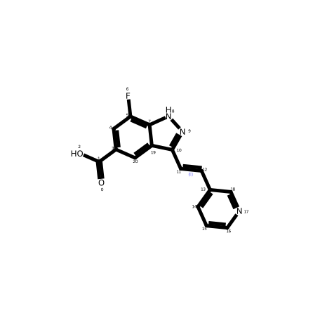 O=C(O)c1cc(F)c2[nH]nc(/C=C/c3cccnc3)c2c1